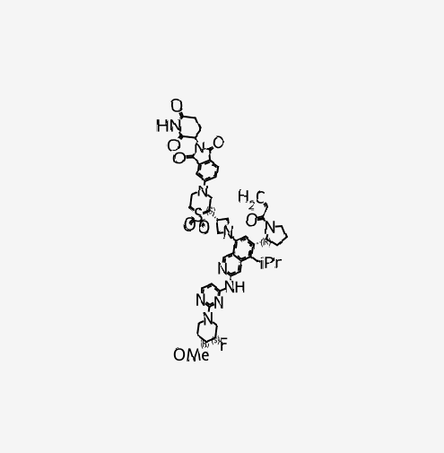 C=CC(=O)N1CCC[C@@H]1c1cc(N2CC([C@H]3CN(c4ccc5c(c4)C(=O)N(C4CCC(=O)NC4=O)C5=O)CCS3(=O)=O)C2)c2cnc(Nc3ccnc(N4CC[C@@H](OC)[C@@H](F)C4)n3)cc2c1C(C)C